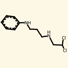 ClC(Cl)CNCCCNc1ccccc1